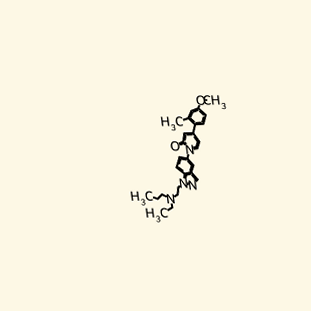 CCCN(CC)CCn1ncc2cc(-n3ccc(-c4ccc(OC)cc4C)cc3=O)ccc21